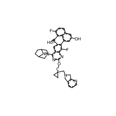 C#Cc1c(F)ccc2cc(O)cc(-c3c(Cl)cc4c(N5CC6CCC(C5)N6)nc(OCC5(CN6Cc7cccnc7C6)CC5)nc4c3F)c12